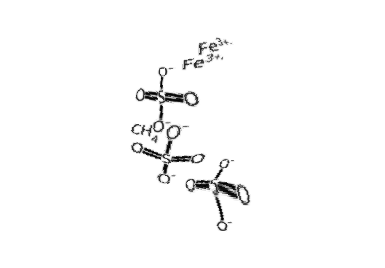 C.O=S(=O)([O-])[O-].O=S(=O)([O-])[O-].O=S(=O)([O-])[O-].[Fe+3].[Fe+3]